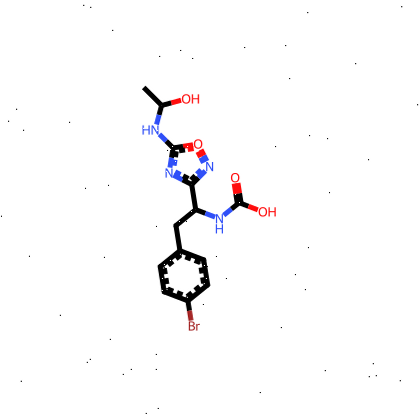 CC(O)Nc1nc(C(Cc2ccc(Br)cc2)NC(=O)O)no1